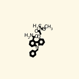 CON(C)C(=O)COc1cccc2c1c1c(C(N)=O)cccc1n2Cc1ccccc1